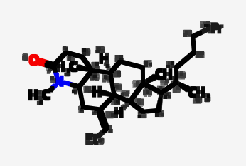 CCC=C1CC2N(C)C(=O)CC[C@]2(C)[C@H]2CC[C@]3(C)[C@@H]([C@H](C)CCCC(C)C)CC[C@H]3[C@H]12